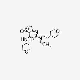 CCN(CCC1CCOCC1)c1nc2c(c(NC3CCOCC3)n1)[S+]([O-])CC2